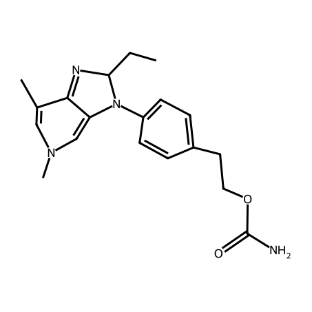 CCC1N=C2C(C)=CN(C)C=C2N1c1ccc(CCOC(N)=O)cc1